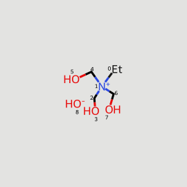 CC[N+](CO)(CO)CO.[OH-]